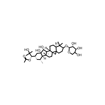 CC(=O)O[C@@H]([C@H]1C[C@@H](C)[C@H]2[C@@](O)(C1)[C@H](O)[C@@]1(C)[C@@H]3CC[C@H]4C(C)(C)C(O[C@@H]5OCC(O)[C@H](O)[C@H]5O)CCC45C[C@@]35CC[C@]21C)C(C)(C)O